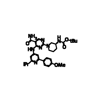 COc1ccc(-c2cc(Nc3nc(N4CCC[C@H](NC(=O)OC(C)(C)C)C4)ncc3C(N)=O)cc(C(C)C)n2)cc1